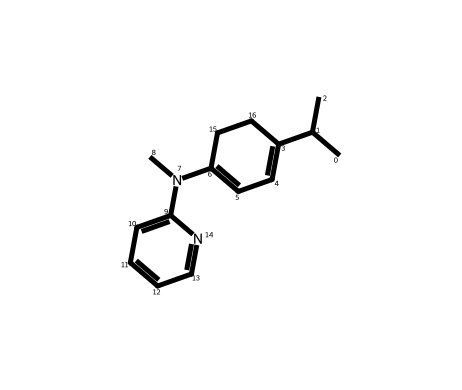 CC(C)C1=CC=C(N(C)c2ccccn2)CC1